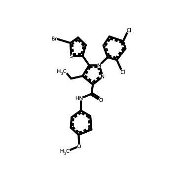 CCc1c(C(=O)Nc2ccc(OC)cc2)nn(-c2ccc(Cl)cc2Cl)c1-c1ccc(Br)s1